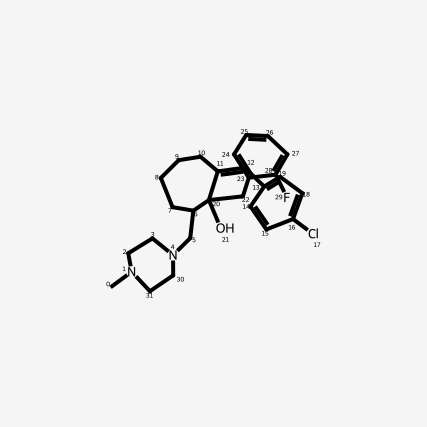 CN1CCN(CC2CCCC/C(=C/c3ccc(Cl)cc3)C2(O)Cc2ccccc2F)CC1